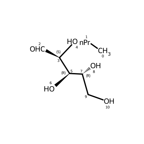 CCCC.O=C[C@@H](O)[C@H](O)[C@H](O)CO